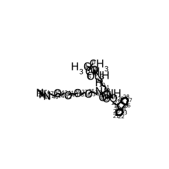 CC(C)(C)OC(=O)NCCCC[C@@H](NC(=O)OCC1c2ccccc2-c2ccccc21)C(=O)NCCOCCOCCOCCOCCN=[N+]=[N-]